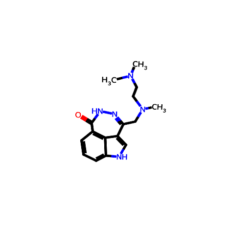 CN(C)CCN(C)CC1=NNC(=O)c2cccc3[nH]cc1c23